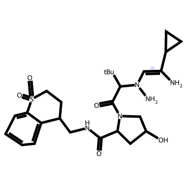 CC(C)(C)C(C(=O)N1CC(O)CC1C(=O)NCC1CCS(=O)(=O)c2ccccc21)N(N)/C=C(\N)C1CC1